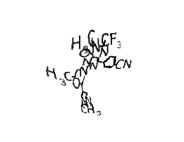 CC1CN(c2nc(-c3ccc(C#N)cc3)c3nc(C(F)(F)F)n(C)c(=O)c3n2)CC(c2cnn(C)c2)O1